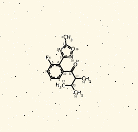 Cc1nc(-c2c(F)cccc2C(=O)C(C)C(C)C)no1